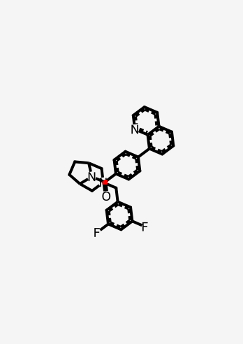 O=C(c1ccc(-c2cccc3cccnc23)cc1)N1C2CCC1CN(Cc1cc(F)cc(F)c1)C2